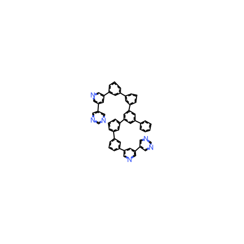 c1ccc(-c2cc(-c3cccc(-c4cccc(-c5cncc(-c6cncnc6)c5)c4)c3)cc(-c3cccc(-c4cccc(-c5cncc(-c6cncnc6)c5)c4)c3)c2)cc1